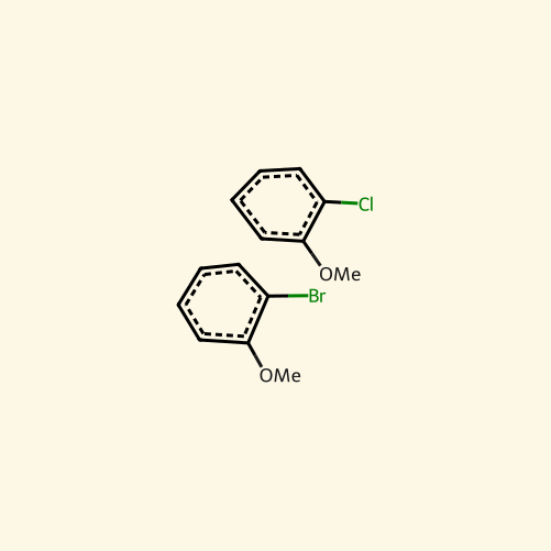 COc1ccccc1Br.COc1ccccc1Cl